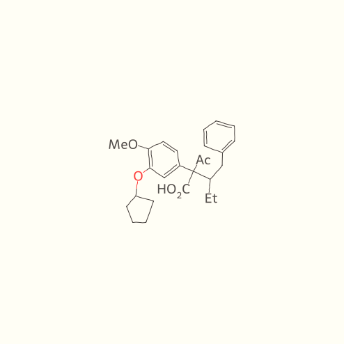 CCC(Cc1ccccc1)C(C(C)=O)(C(=O)O)c1ccc(OC)c(OC2CCCC2)c1